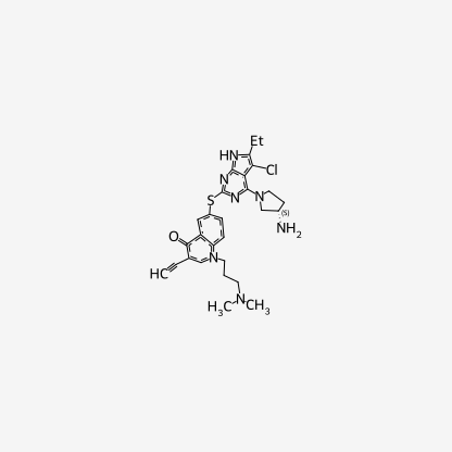 C#Cc1cn(CCCN(C)C)c2ccc(Sc3nc(N4CC[C@H](N)C4)c4c(Cl)c(CC)[nH]c4n3)cc2c1=O